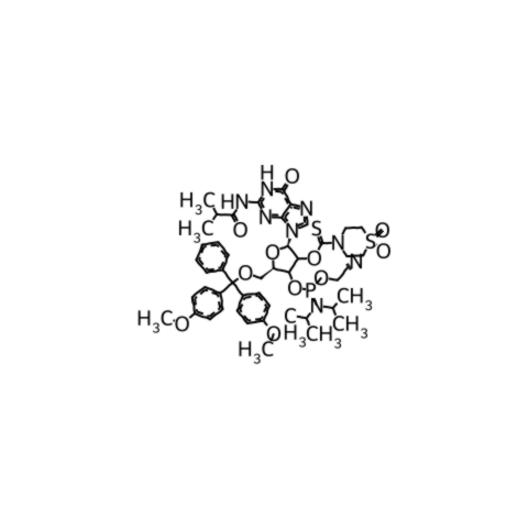 COc1ccc(C(OC[C@H]2O[C@@H](n3cnc4c(=O)[nH]c(NC(=O)C(C)C)nc43)C(OC(=S)N3CCS(=O)(=O)CC3)C2OP(OCC#N)N(C(C)C)C(C)C)(c2ccccc2)c2ccc(OC)cc2)cc1